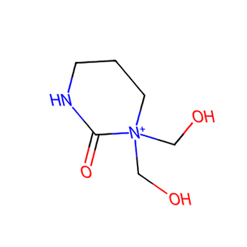 O=C1NCCC[N+]1(CO)CO